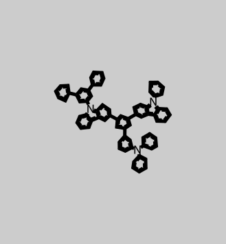 c1ccc(-c2cc(-c3ccccc3)cc(-n3c4ccccc4c4cc(-c5cc(-c6cccc(N(c7ccccc7)c7ccccc7)c6)cc(-c6ccc7c(c6)c6ccccc6n7-c6ccccc6)c5)ccc43)c2)cc1